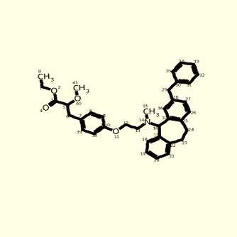 CCOC(=O)C(Cc1ccc(OCCN(C)C2c3ccccc3CCc3ccc(Cc4ccccc4)cc32)cc1)OC